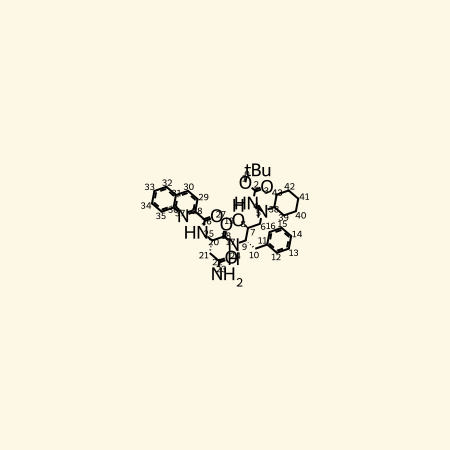 CC(C)(C)OC(=O)NN(C[C@H](O)[C@H](Cc1ccccc1)NC(=O)[C@H](CC(N)=O)NC(=O)c1ccc2ccccc2n1)C1CCCCC1